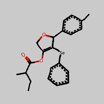 CCC(C)C(=O)OC1=C([Se]c2ccccc2)C(c2ccc(C)cc2)OC1